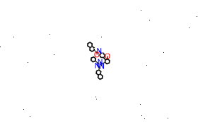 c1ccc(-c2nc(-c3ccc4ccccc4c3)nc(-c3cccc4oc5cc6nc(-c7ccc8ccccc8c7)oc6cc5c34)n2)cc1